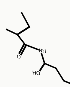 CCCC(O)NC(=O)C(C)CC